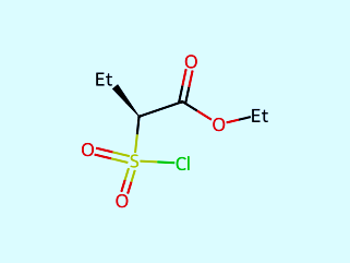 CCOC(=O)[C@H](CC)S(=O)(=O)Cl